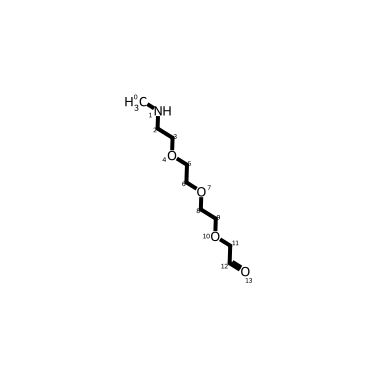 CNCCOCCOCCOCC=O